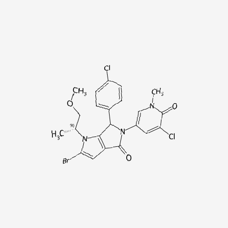 COC[C@@H](C)n1c(Br)cc2c1C(c1ccc(Cl)cc1)N(c1cc(Cl)c(=O)n(C)c1)C2=O